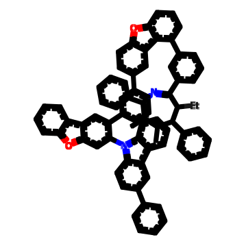 CCC1C(c2cccc(-c3cccc4oc5ccc(-c6cccc(-c7cc8c(cc7-n7c9ccccc9c9cc(-c%10ccccc%10)ccc97)oc7ccccc78)c6)cc5c34)c2)=NC(c2ccccc2)=C(C)C(C)C1c1ccccc1